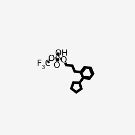 O=P(O)(OCCCc1ccccc1C1CCCC1)OC(F)(F)F